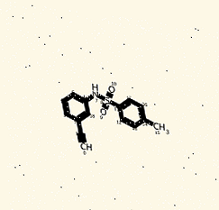 C#Cc1cccc(NS(=O)(=O)c2ccc(C)cc2)c1